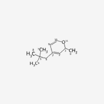 CC1C=C(CC(C)(C)C)C=CO1